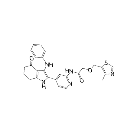 Cc1ncsc1COCC(=O)Nc1cc(-c2[nH]c3c(c2Nc2ccccc2)C(=O)CCC3)ccn1